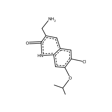 CC(C)Oc1cc2[nH]c(=O)c(CN)cc2cc1Cl